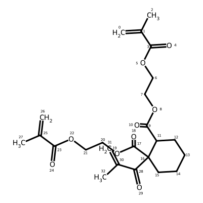 C=C(C)C(=O)OCCOC(=O)C1CCCCC1(C(=O)OCCOC(=O)C(=C)C)C(=O)C(=C)C